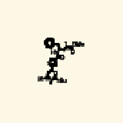 CCCCC(=O)N(C)[C@H](CCc1nc(C(=O)N[C@@H](Cc2ccccc2)C[C@H](C)C(=O)OC)cs1)C(C)C